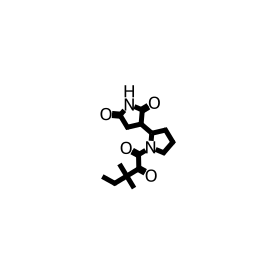 CCC(C)(C)C(=O)C(=O)N1CCCC1C1CC(=O)NC1=O